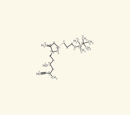 C#C[C@H](C)C[C@H](O)CC[C@@H]1O[C@@H](CCCO[Si](C)(C)C(C)(C)C)CC1=C